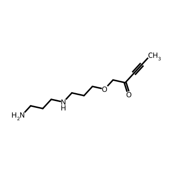 CC#CC(=O)COCCCNCCCN